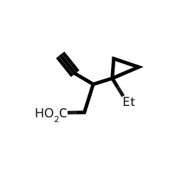 C#CC(CC(=O)O)C1(CC)CC1